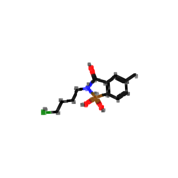 Cc1ccc2c(c1)C(=O)N(CCCCBr)S2(=O)=O